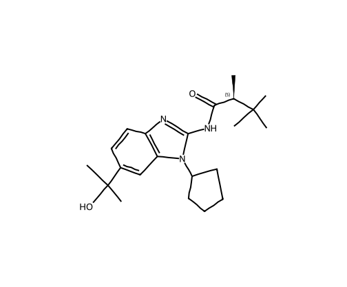 C[C@H](C(=O)Nc1nc2ccc(C(C)(C)O)cc2n1C1CCCC1)C(C)(C)C